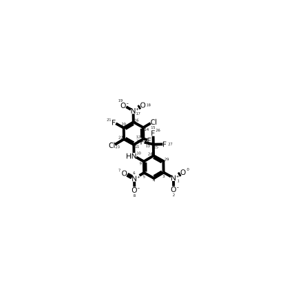 O=[N+]([O-])c1cc([N+](=O)[O-])c(Nc2c(F)c(Cl)c([N+](=O)[O-])c(F)c2Cl)c(C(F)(F)F)c1